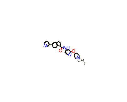 CN1CCC(Oc2cc(NC(=O)C3CCc4cc(-c5cccnc5)ccc43)ccn2)CC1